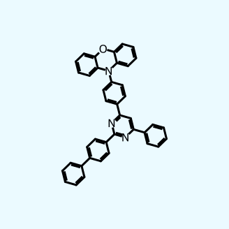 c1ccc(-c2ccc(-c3nc(-c4ccccc4)cc(-c4ccc(N5c6ccccc6Oc6ccccc65)cc4)n3)cc2)cc1